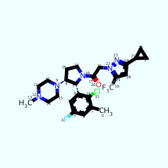 Cc1cc(F)cc([C@@H]2[C@H](N3CCN(C)CC3)CCN2C(=O)Cn2nc(C3CC3)cc2C(F)(F)F)c1Cl